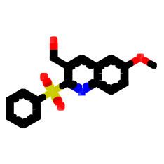 COc1ccc2nc(S(=O)(=O)c3ccccc3)c(C=O)cc2c1